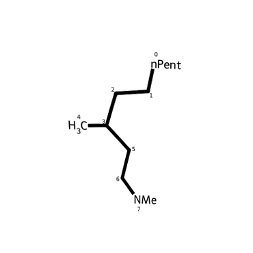 CCCCCCCC(C)CCNC